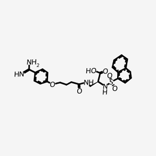 N=C(N)c1ccc(OCCCC(=O)NC[C@H](NS(=O)(=O)c2cccc3ccccc23)C(=O)O)cc1